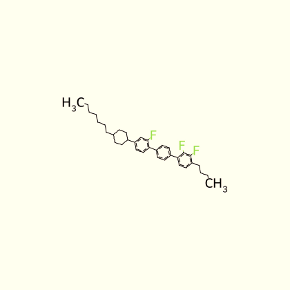 CCCCCCCC1CCC(c2ccc(-c3ccc(-c4ccc(CCCC)c(F)c4F)cc3)c(F)c2)CC1